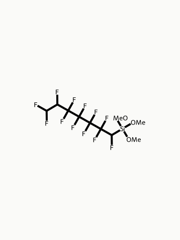 CO[Si](OC)(OC)C(F)C(F)(F)C(F)(F)C(F)(F)C(F)(F)C(F)C(F)F